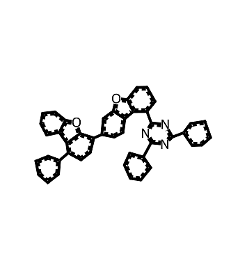 c1ccc(-c2nc(-c3ccccc3)nc(-c3cccc4oc5cc(-c6ccc(-c7ccccc7)c7c6oc6ccccc67)ccc5c34)n2)cc1